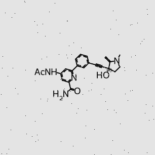 C=C1N(C)CC[C@@]1(O)C#Cc1cccc(-c2cc(NC(C)=O)cc(C(N)=O)n2)c1